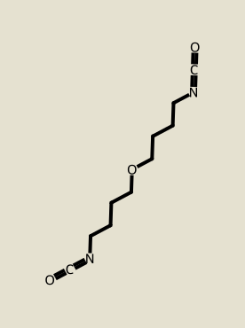 O=C=NCCCCOCCCCN=C=O